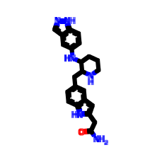 NC(=O)Cc1cc2cc(CC3NCCCC3Nc3ccc4[nH]ncc4c3)ccc2[nH]1